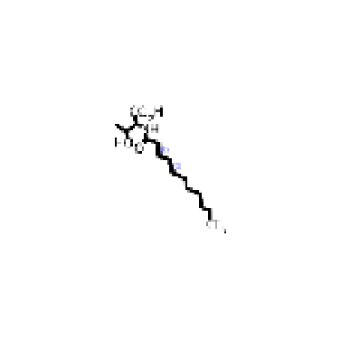 CC(O)C(NC(=O)/C=C/C=C/CCCCCC(F)(F)F)C(=O)O